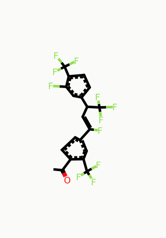 CC(=O)c1ccc(/C(F)=C/C(c2ccc(C(F)(F)F)c(F)c2)C(F)(F)F)cc1C(F)(F)F